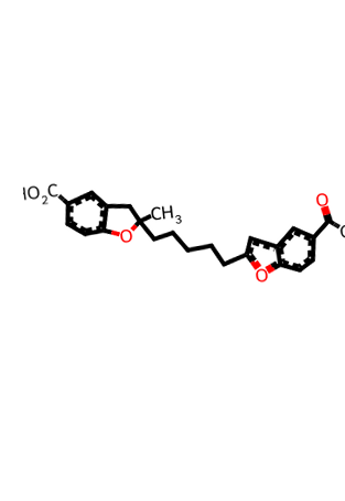 COC(=O)c1ccc2oc(CCCCCC3(C)Cc4cc(C(=O)O)ccc4O3)cc2c1